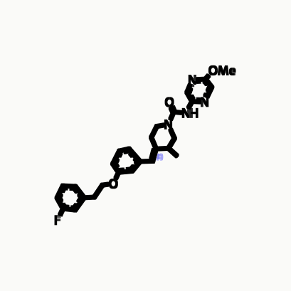 COc1cnc(NC(=O)N2CC/C(=C\c3cccc(OCCc4cccc(F)c4)c3)C(C)C2)cn1